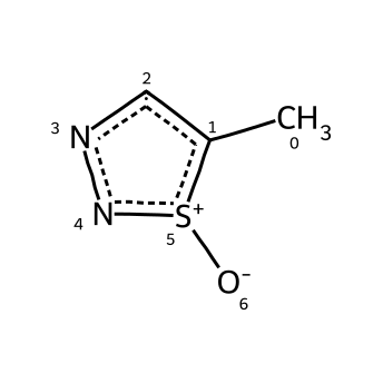 Cc1[c]nn[s+]1[O-]